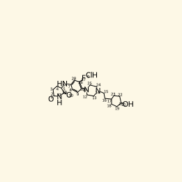 Cl.O=C1CCC(Nc2ccc(N3CCN(CCC4CCC(O)CC4)CC3)c(F)c2)C(=O)N1